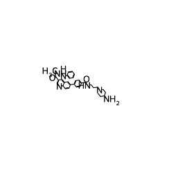 CNC(=O)c1cnc2ccc(-c3ccc(C(=O)NCCCN4CCC(N)CC4)cc3)cc2c1Nc1ccccc1